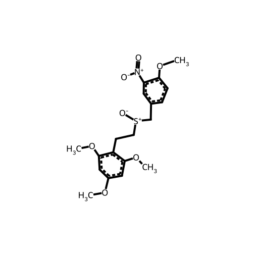 COc1cc(OC)c(CC[S+]([O-])Cc2ccc(OC)c([N+](=O)[O-])c2)c(OC)c1